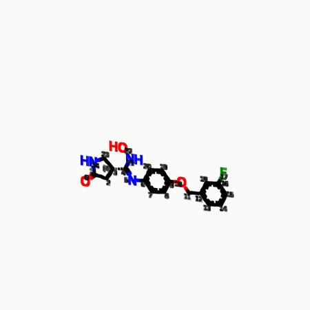 O=C1C[C@@H](C(=Nc2ccc(OCc3cccc(F)c3)cc2)NO)CN1